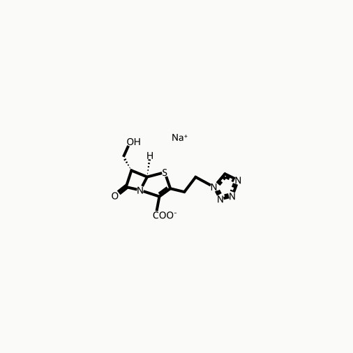 O=C([O-])C1=C(CCn2cnnn2)S[C@@H]2[C@@H](CO)C(=O)N12.[Na+]